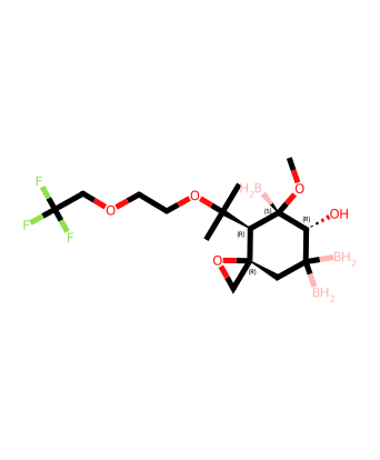 BC1(B)C[C@]2(CO2)[C@@H](C(C)(C)OCCOCC(F)(F)F)[C@](B)(OC)[C@@H]1O